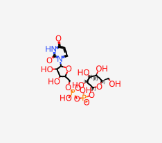 O=c1ccn(C2OC(COP(=O)(O)OP(=O)(O)O[C@H]3O[C@H](CO)[C@H](O)[C@H](O)[C@H]3O)C(O)C2O)c(=O)[nH]1